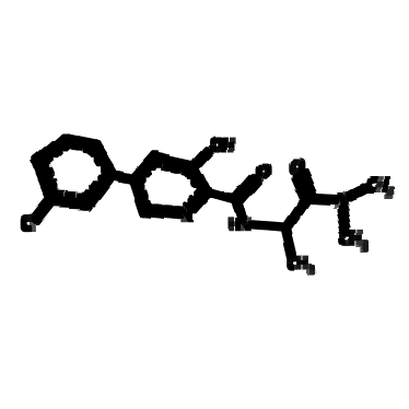 CC(NC(=O)c1ncc(-c2cccc(Cl)c2)cc1O)C(=O)N(C)C